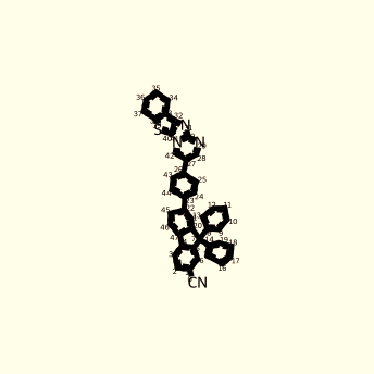 N#Cc1ccc2c(c1)C(c1ccccc1)(c1ccccc1)c1cc(-c3ccc(-c4cnc5nc6c7ccccc7sc6n5c4)cc3)ccc1-2